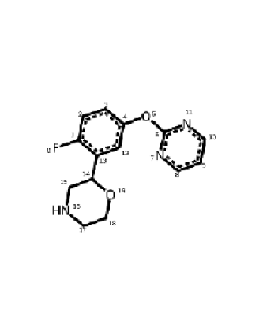 Fc1ccc(Oc2ncccn2)cc1[C@@H]1CNCCO1